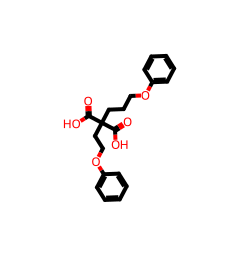 O=C(O)C(CCCOc1ccccc1)(CCOc1ccccc1)C(=O)O